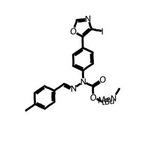 CNC.Cc1ccc(C=NN(C(=O)OC(C)(C)C)c2ccc(-c3ocnc3I)cc2)cc1